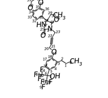 CCCc1cc(C(O)(C(F)(F)F)C(F)(F)F)ccc1OCC#CCN1C(=O)NC(CC)(c2ccc3c(c2)OCCO3)C1=O